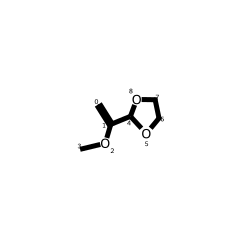 C=C(OC)C1OCCO1